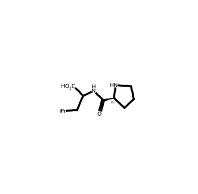 CC(C)CC(NC(=O)[C@@H]1CCCN1)C(=O)O